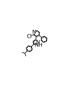 CC(C)c1ccc(-c2cc(-c3c(-c4ccccc4)ccnc3Cl)n[nH]2)cc1